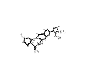 C=C(Nc1cc2cc(-c3cnn(C)c3CO)ccc2cn1)c1ccc(F)cc1